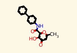 Cc1cc(=O)c(O)c(C(=O)Nc2ccc(-c3ccccc3)cc2)o1